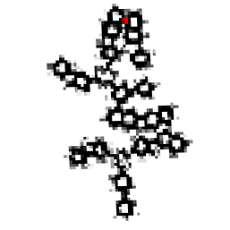 c1ccc(-c2ccc(-c3nc(-c4cc(-n5c6cc7ccccc7cc6c6cc7c(-c8cc(-c9ccccc9)cc(-c9nc(-c%10cc(-n%11c%12ccccc%12c%12cc%13ccccc%13cc%12%11)c%11c(c%10)oc%10cc%12ccccc%12cc%10%11)nc(-c%10ccc%11sc%12ccccc%12c%11c%10)n9)c8)cccc7cc65)c5c(c4)oc4c6ccccc6ccc45)nc(-c4ccc5sc6ccccc6c5c4)n3)cc2)cc1